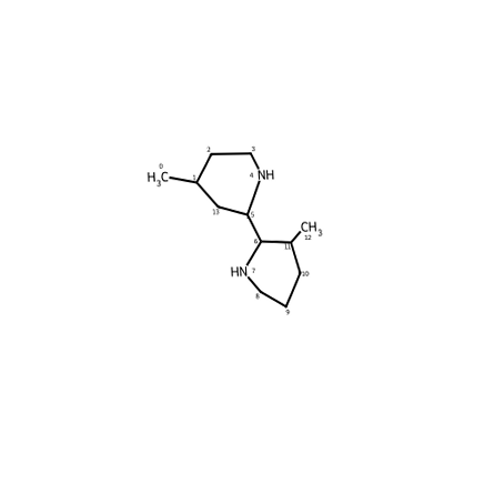 CC1CCN[C](C2NCCCC2C)C1